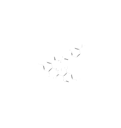 Cc1cc(Cl)cc(C(=O)NN=Cc2ccc(Br)cn2)c1NC(=O)c1ncc(C(F)(F)F)cc1Cl